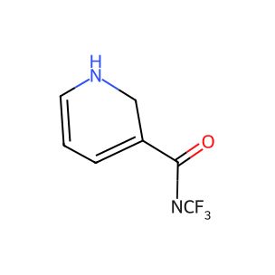 O=C(NC(F)(F)F)C1=CC=CNC1